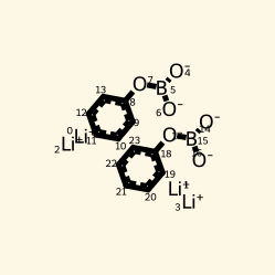 [Li+].[Li+].[Li+].[Li+].[O-]B([O-])Oc1ccccc1.[O-]B([O-])Oc1ccccc1